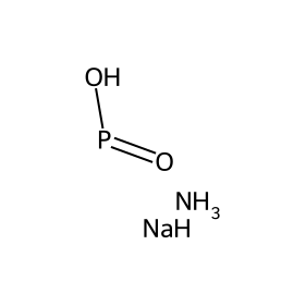 N.O=PO.[NaH]